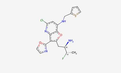 C[C@H](F)[C@H](N)Cc1oc2c(NCc3cccs3)cc(Cl)nc2c1-c1ncco1